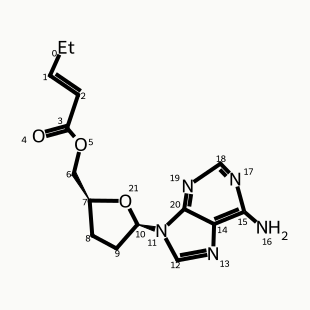 CCC=CC(=O)OC[C@@H]1CC[C@H](n2cnc3c(N)ncnc32)O1